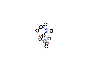 c1ccc(-c2ccc3c4ccccc4n(-c4nc(-c5ccccc5)nc(-c5ccc6c(c5)oc5cccc(-c7nc(-c8ccccc8)c8oc9ccccc9c8n7)c56)n4)c3c2)cc1